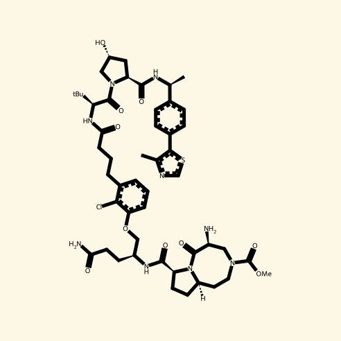 COC(=O)N1CC[C@H]2CC[C@@H](C(=O)N[C@@H](CCC(N)=O)COc3cccc(CCCC(=O)N[C@H](C(=O)N4C[C@H](O)C[C@H]4C(=O)N[C@@H](C)c4ccc(-c5scnc5C)cc4)C(C)(C)C)c3Cl)N2C(=O)[C@@H](N)C1